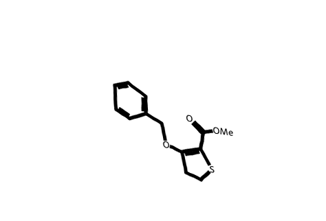 COC(=O)C1=C(OCc2ccccc2)CCS1